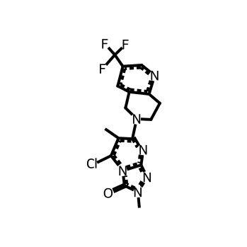 Cc1c(N2CCc3ncc(C(F)(F)F)cc3C2)nc2nn(C)c(=O)n2c1Cl